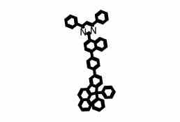 c1ccc(-c2cc(-c3ccccc3)nc(-c3ccc(-c4ccc(-c5ccc6c(c5)-c5ccc7ccccc7c5C6(c5ccccc5)c5ccccc5)cc4)c4ccccc34)n2)cc1